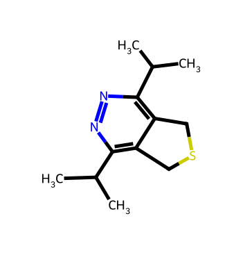 CC(C)c1nnc(C(C)C)c2c1CSC2